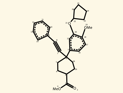 COC(=O)C1CCC(C#Cc2ccccc2)(c2ccc(OC)c(OC3CCCC3)c2)CC1